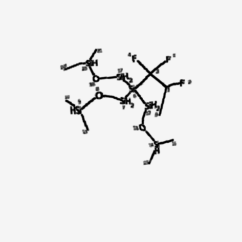 CC(F)C(F)(F)[Si]([SiH2]O[SiH](C)C)([SiH2]O[SiH](C)C)[SiH2]O[SiH](C)C